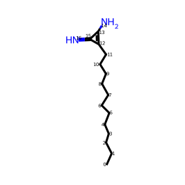 CCCCCCCCCCCCc1c(N)c1=N